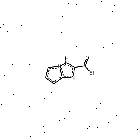 CCC(=O)c1nc2cccn2[nH]1